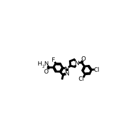 Cc1nn(C2CCN(C(=O)c3cc(Cl)cc(Cl)c3)C2)c2cc(F)c(C(N)=O)cc12